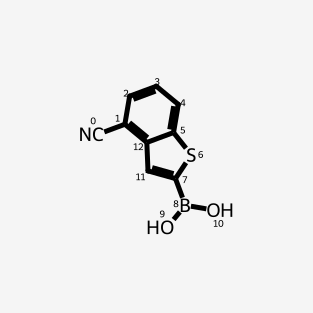 N#Cc1cccc2sc(B(O)O)cc12